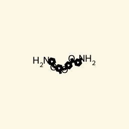 Cc1cc(Oc2cccc(N)c2)ccc1Oc1ccc(C(=O)c2cccc(N)c2)cc1